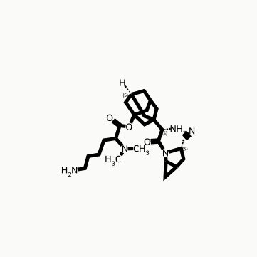 CN(C)C(CCCCN)C(=O)OC12CC3C[C@H](C1)CC([C@H](N)C(=O)N1C4CC4C[C@H]1C#N)(C3)C2